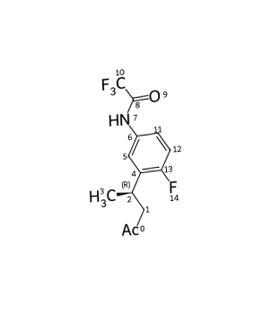 CC(=O)C[C@@H](C)c1cc(NC(=O)C(F)(F)F)ccc1F